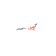 C=C(C)COOP(=O)(O)OCCCCCCCCCC